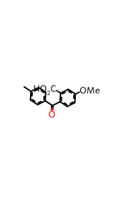 COc1ccc(C(=O)c2ccc(C)cc2)c(C(=O)O)c1